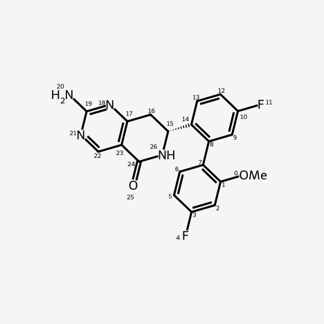 COc1cc(F)ccc1-c1cc(F)ccc1[C@H]1Cc2nc(N)ncc2C(=O)N1